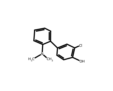 CN(C)c1ccccc1-c1ccc(O)c(Cl)c1